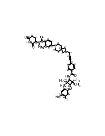 CC1(C)[C@H](NC(=O)c2ccc(C#CCN3CC4(CCN(c5ccc6c(=O)n(C7CCC(=O)NC7=O)nnc6c5)CC4)C3)nc2)C(C)(C)[C@H]1Oc1ccc(C#N)c(Cl)c1